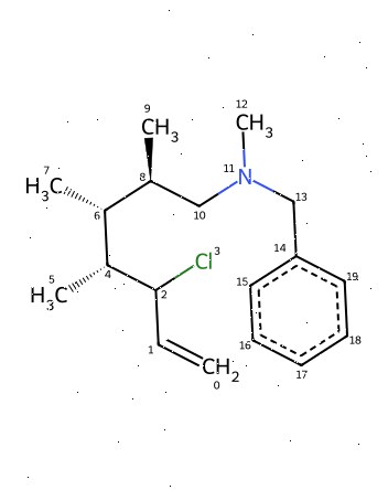 C=CC(Cl)[C@H](C)[C@H](C)[C@@H](C)CN(C)Cc1ccccc1